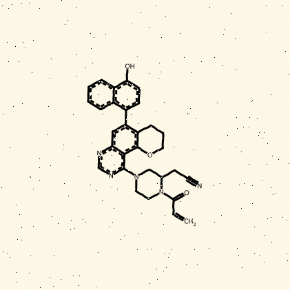 C=CC(=O)N1CCN(c2ncnc3cc(-c4ccc(O)c5ccccc45)c4c(c23)OCCC4)CC1CC#N